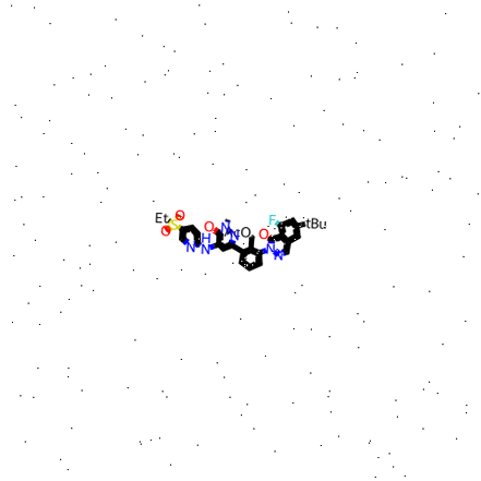 CCS(=O)(=O)c1ccc(Nc2cc(-c3cccc(-n4ncc5cc(C(C)(C)C)cc(F)c5c4=O)c3COC(C)=O)nn(C)c2=O)nc1